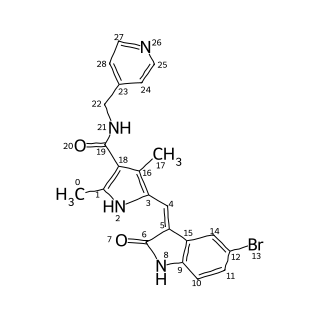 Cc1[nH]c(C=C2C(=O)Nc3ccc(Br)cc32)c(C)c1C(=O)NCc1ccncc1